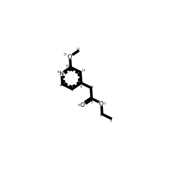 CCOC(=O)Cc1ccnc(OC)c1